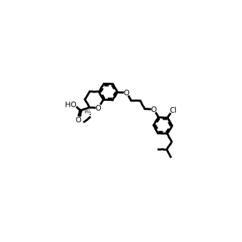 CC[C@]1(C(=O)O)CCc2ccc(OCCCOc3ccc(CC(C)C)cc3Cl)cc2O1